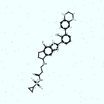 O=C(CCNC1CCc2c1cc1nc(-c3cccc(-c4ccc5c(c4)OCCO5)c3Cl)oc1c2F)NS(=O)(=O)C1CC1